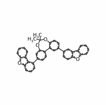 CC1(C)Oc2cc(-c3cccc4oc5ccccc5c34)ccc2-c2cc(-c3ccc4oc5ccccc5c4c3)ccc2O1